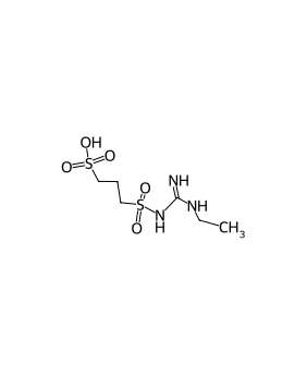 CCNC(=N)NS(=O)(=O)CCCS(=O)(=O)O